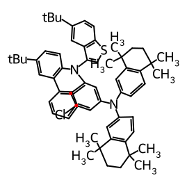 CC(C)(C)c1ccc(N(c2cc(Cl)cc(N(c3ccc4c(c3)C(C)(C)CCC4(C)C)c3ccc4c(c3)C(C)(C)CCC4(C)C)c2)c2csc3ccc(C(C)(C)C)cc23)c(-c2ccccc2)c1